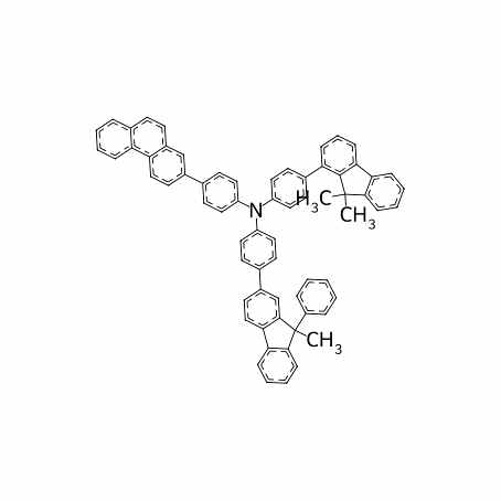 CC1(C)c2ccccc2-c2cccc(-c3ccc(N(c4ccc(-c5ccc6c(c5)C(C)(c5ccccc5)c5ccccc5-6)cc4)c4ccc(-c5ccc6c(ccc7ccccc76)c5)cc4)cc3)c21